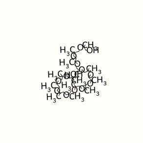 CC(O)COC(C)COC(C)COC(C)COC(C)COC(C)COC(C)COC(C)COC(C)COC(C)COC(C)COC(C)COC(C)CO